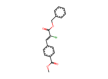 COC(=O)c1ccc(/C=C(\Br)C(=O)OCc2ccccc2)cc1